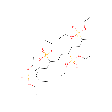 CCOP(=O)(OCC)C(CC)CCC(CCC(CCC(C)[PH](O)(OCC)OCC)P(=O)(OCC)OCC)P(=O)(OCC)OCC